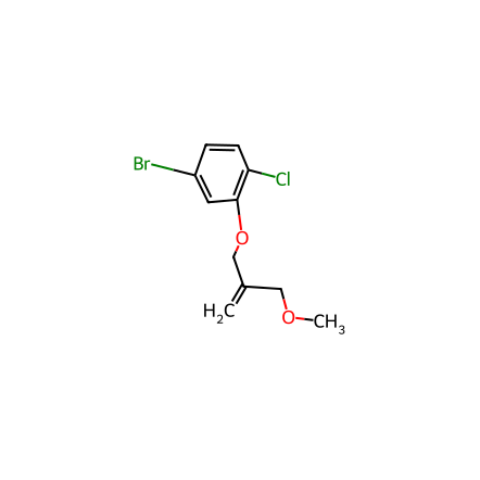 C=C(COC)COc1cc(Br)ccc1Cl